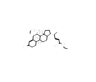 CCOC(=O)/C=C/C(C)[C@H]1CC[C@H]2[C@@H]3[C@H](O)[C@@H](CC)C4=CC(=O)CC[C@]4(C)[C@H]3CC[C@]12C